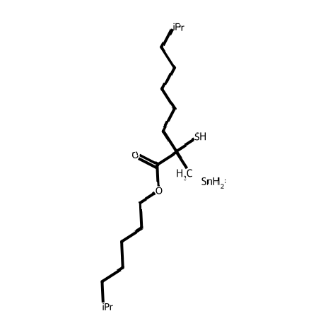 CC(C)CCCCCOC(=O)C(C)(S)CCCCCC(C)C.[SnH2]